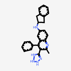 Cc1nc2ccc(NC3Cc4ccccc4C3)cc2c(-c2ccccc2)c1C1=NNNN1